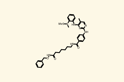 CSN(C)c1ccccc1Nc1nc(Nc2ccc(C(=O)NCCCCCCC(=O)NOCc3ccccc3)cc2)ncc1C